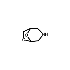 C1NCC2OCC1O2